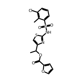 Cc1c(Cl)cccc1S(=O)(=O)Nc1nc(C(C)OC(=O)c2ccco2)cs1